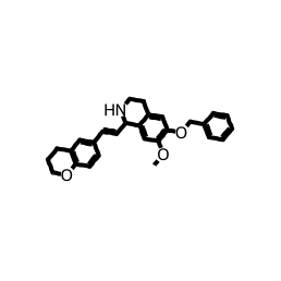 COc1cc2c(cc1OCc1ccccc1)CCNC2C=Cc1ccc2c(c1)CCCO2